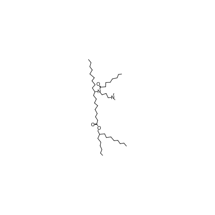 CCCCCCCCCC(CCCCCCCCC(=O)OCC(CCCCCC)CCCCCCCC)N(CCCN(C)C)C(=O)CCCCCCC